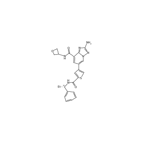 CC[C@H](NC(=O)c1cc(-c2cc(C(=O)NC3COC3)c3nc(N)nn3c2)cs1)c1ccccc1